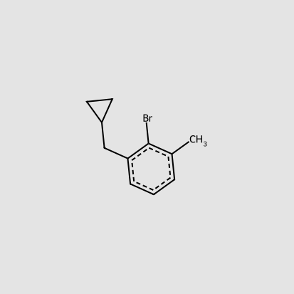 Cc1cccc(CC2CC2)c1Br